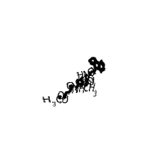 COC(=O)CCC(=O)Nc1ccc(C[C@H](NC(=O)OCC2c3ccccc3-c3ccccc32)C(=O)OC)cc1